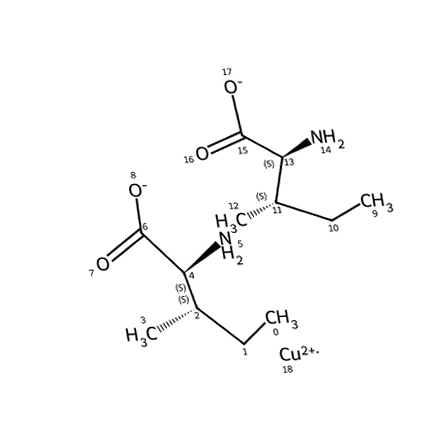 CC[C@H](C)[C@H](N)C(=O)[O-].CC[C@H](C)[C@H](N)C(=O)[O-].[Cu+2]